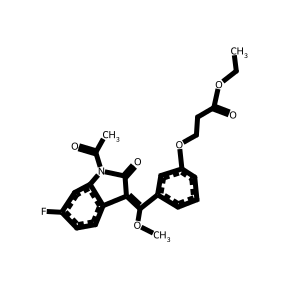 CCOC(=O)CCOc1cccc(/C(OC)=C2\C(=O)N(C(C)=O)c3cc(F)ccc32)c1